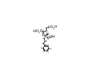 O=C(O)CCC(OP(=O)(CCCc1ccccc1)SO)C(=O)O